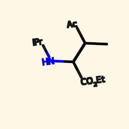 CCOC(=O)C(NC(C)C)C(C)C(C)=O